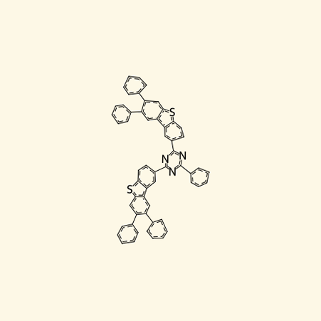 c1ccc(-c2nc(-c3ccc4sc5cc(-c6ccccc6)c(-c6ccccc6)cc5c4c3)nc(-c3ccc4sc5cc(-c6ccccc6)c(-c6ccccc6)cc5c4c3)n2)cc1